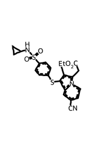 CCOC(=O)Cc1c(C)c(Sc2ccc(S(=O)(=O)NC3CC3)cc2)c2cc(C#N)ccn12